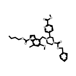 CCCCOC(=O)n1ccc2c(CN3CCN(C(=O)OCc4ccccc4)CC3c3ccc(C(=O)OC)nc3)c(OC)cc(C)c21